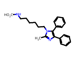 Cc1nc(-c2ccccc2)c(-c2ccccc2)n1CCCCCCNC(=O)O